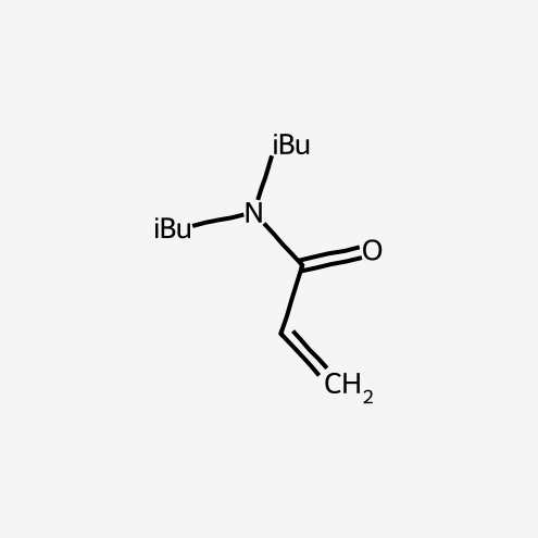 C=CC(=O)N(C(C)CC)C(C)CC